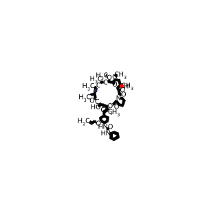 C=CCOC1CC(C=C(C)C2OC(=O)C3CCCCN3C(=O)C(=O)C3(O)OC(C(OC)CC(C)C/C(C)=C/C(CC)C(=O)CC(O)C2C)C(OC)CC3C)CCC1NC(=O)Nc1ccccc1